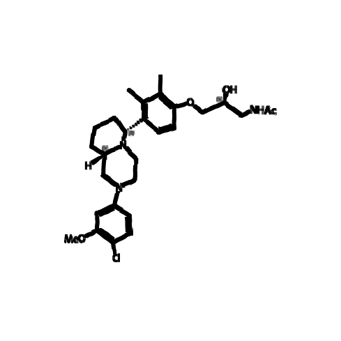 COc1cc(N2CCN3[C@@H](CCC[C@@H]3c3ccc(OC[C@@H](O)CNC(C)=O)c(C)c3C)C2)ccc1Cl